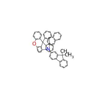 CC1(C)c2ccccc2-c2ccc(N(c3ccc4ccccc4c3)c3cccc4c3C3(c5ccccc5O4)c4ccccc4-c4ccccc43)cc21